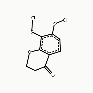 O=C1CCOc2c1ccc(SCl)c2SCl